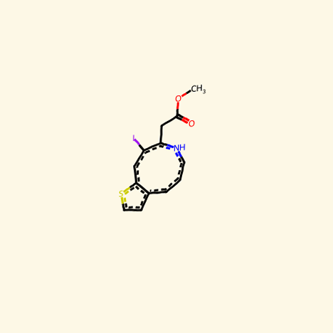 COC(=O)Cc1[nH]cccc2ccsc2cc1I